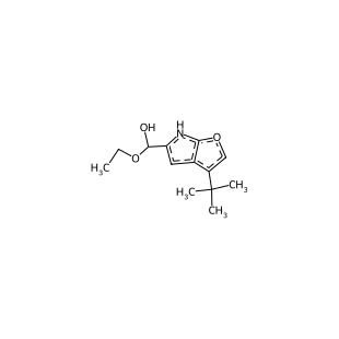 CCOC(O)c1cc2c(C(C)(C)C)coc2[nH]1